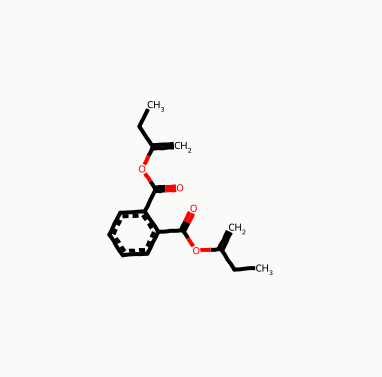 C=C(CC)OC(=O)c1ccccc1C(=O)OC(=C)CC